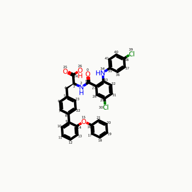 O=C(N[C@@H](Cc1ccc(-c2ccccc2Oc2ccccc2)cc1)C(=O)O)c1cc(Cl)ccc1Nc1ccc(Cl)cc1